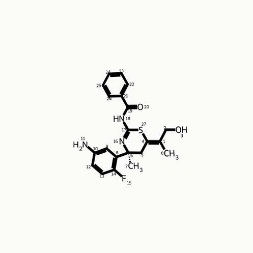 C/C(CO)=C1\C[C@@](C)(c2cc(N)ccc2F)N=C(NC(=O)c2ccccc2)S1